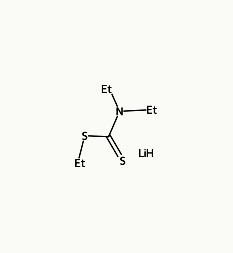 CCSC(=S)N(CC)CC.[LiH]